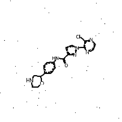 O=C(Nc1ccc(C2CNCCO2)cc1)c1ccn(-c2nccnc2Cl)n1